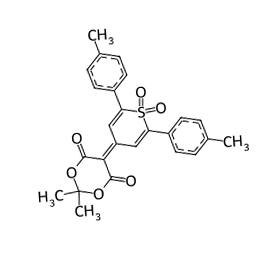 Cc1ccc(C2=CC(=C3C(=O)OC(C)(C)OC3=O)C=C(c3ccc(C)cc3)S2(=O)=O)cc1